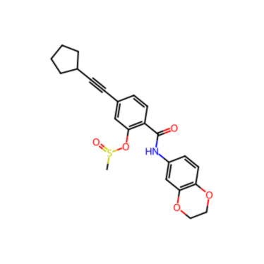 CS(=O)Oc1cc(C#CC2CCCC2)ccc1C(=O)Nc1ccc2c(c1)OCCO2